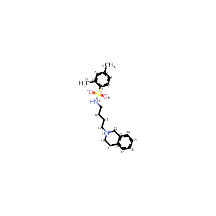 Cc1ccc(S(=O)(=O)NCCCCN2CCc3ccccc3C2)c(C)c1